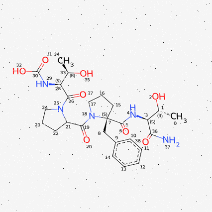 C[C@@H](O)[C@H](NC(=O)[C@@]1(Cc2ccccc2)CCCN1C(=O)C1CCCN1C(=O)[C@@H](NC(=O)O)[C@@H](C)O)C(N)=O